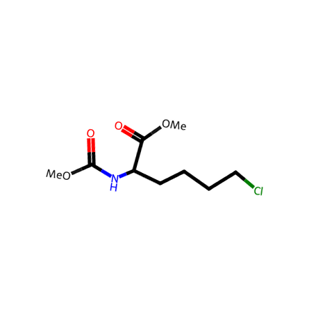 COC(=O)NC(CCCCCl)C(=O)OC